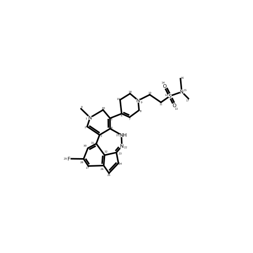 CN1C=C2C(=C(C3=CCN(CCS(=O)(=O)N(C)C)CC3)C1)NN=C1C=Cc3cc(F)cc2c31